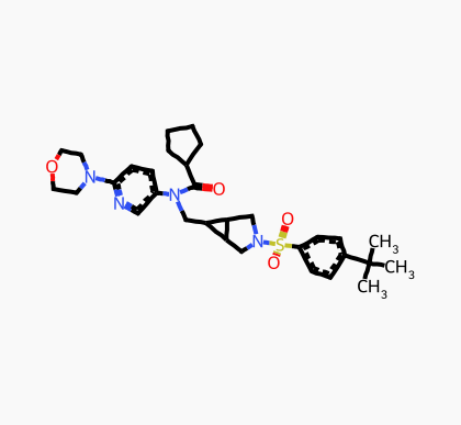 CC(C)(C)c1ccc(S(=O)(=O)N2CC3C(CN(C(=O)C4CCCC4)c4ccc(N5CCOCC5)nc4)C3C2)cc1